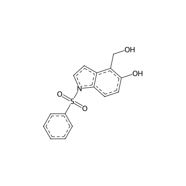 O=S(=O)(c1ccccc1)n1ccc2c(CO)c(O)ccc21